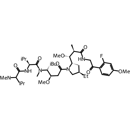 CC[C@@H]1C[C@@H]([C@H](OC)[C@@H](C)C(=O)NCC(=O)c2ccc(OC)cc2F)N(C(=O)C[C@@H](OC)C([C@@H](C)CC)N(C)C(=O)[C@@H](NC(=O)C(NC)C(C)C)C(C)C)C1